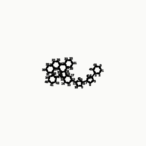 c1ccc(-c2ccc(-c3ccc(-c4ccc5c(c4)c4c6ccccc6c6ccc7ccccc7c6c4n5-c4ccccc4)s3)s2)cc1